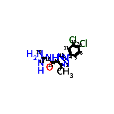 Cc1nn(-c2ccc(Cl)c(Cl)c2)nc1C(=O)NC(=N)N